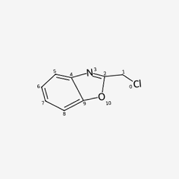 ClCc1nc2ccccc2o1